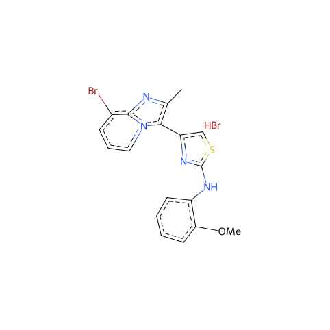 Br.COc1ccccc1Nc1nc(-c2c(C)nc3c(Br)cccn23)cs1